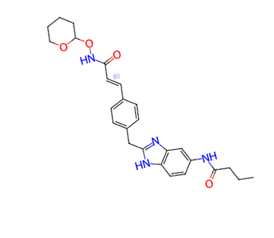 CCCC(=O)Nc1ccc2[nH]c(Cc3ccc(/C=C/C(=O)NOC4CCCCO4)cc3)nc2c1